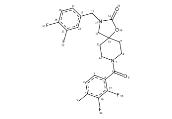 Cc1ccc(C(=O)N2CCC3(CC2)CN(Cc2ccc(F)c(F)c2)C(=O)O3)c(F)c1F